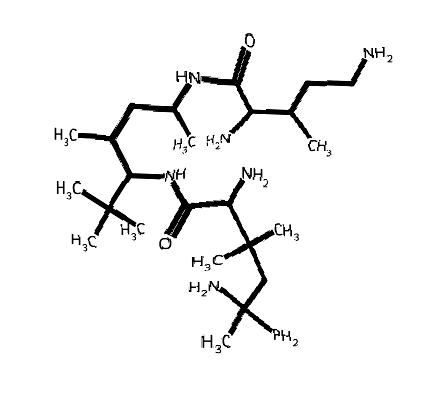 CC(CC(C)C(NC(=O)C(N)C(C)(C)CC(C)(N)P)C(C)(C)C)NC(=O)C(N)C(C)CCN